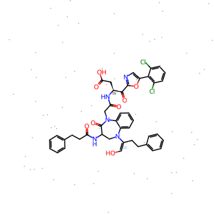 O=C(O)C[C@H](NC(=O)CN1C(=O)C(NC(=O)CCc2ccccc2)CN(/C(=C\O)CCc2ccccc2)c2ccccc21)C(=O)c1ncc(-c2c(Cl)cccc2Cl)o1